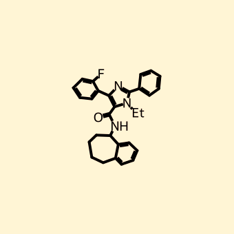 CCn1c(-c2ccccc2)nc(-c2ccccc2F)c1C(=O)NC1CCCCc2ccccc21